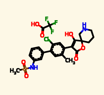 Cc1cc(-c2cccc(NS(C)(=O)=O)c2)c(Cl)cc1C1=C(O)C2(CCCNC2)OC1=O.O=C(O)C(F)(F)F